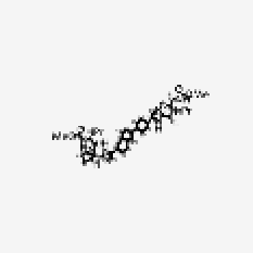 CCCN(C(=O)[C@H](C)NC(=O)OC)[C@@H](C)c1ncc(-c2ccc(-c3ccc4cc(-c5cnc([C@@H]6[C@H]7CC[C@H](C7)N6C(=O)[C@@H](NC(=O)OC)C(C)C)[nH]5)ccc4c3)cc2)[nH]1